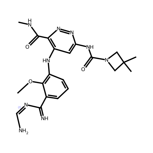 CNC(=O)c1nnc(NC(=O)N2CC(C)(C)C2)cc1Nc1cccc(C(=N)/N=C\N)c1OC